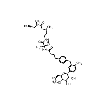 C#CCN(C)C(=O)CN(C)CCNC(=O)C(C)(C)NC(=O)CCCc1ccc(Cc2cc([C@@H]3OC(/C=[SH]\C)[C@@H](O)[C@H](O)[C@H]3O)ccc2C)cc1